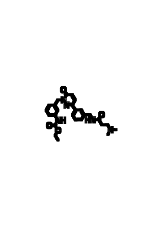 CCOC(=O)Nc1cccc(Cn2nc(-c3cccc(CNC(=O)CCN(C)C)c3)ccc2=O)c1